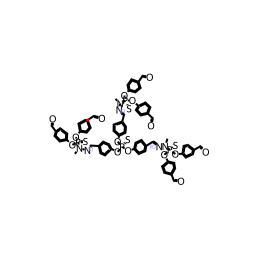 CN(/N=C/c1ccc(OP(=S)(Oc2ccc(/C=N/N(C)P(=S)(Oc3ccc(C=O)cc3)Oc3ccc(C=O)cc3)cc2)Oc2ccc(/C=N/N(C)P(=S)(Oc3ccc(C=O)cc3)Oc3ccc(C=O)cc3)cc2)cc1)P(=S)(Oc1ccc(C=O)cc1)Oc1ccc(C=O)cc1